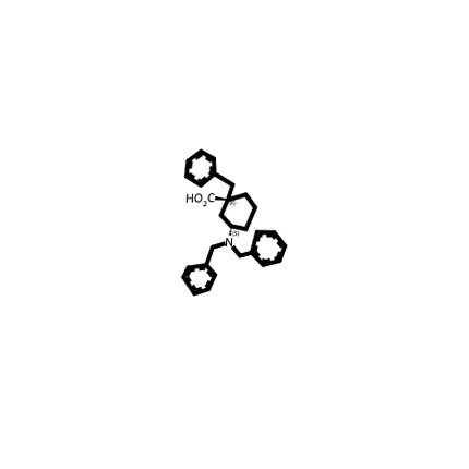 O=C(O)[C@@]1(Cc2ccccc2)CCC[C@H](N(Cc2ccccc2)Cc2ccccc2)C1